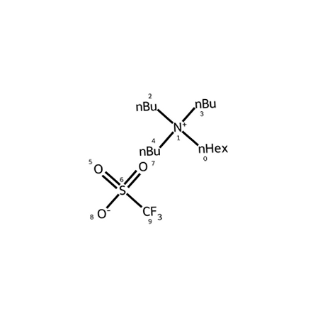 CCCCCC[N+](CCCC)(CCCC)CCCC.O=S(=O)([O-])C(F)(F)F